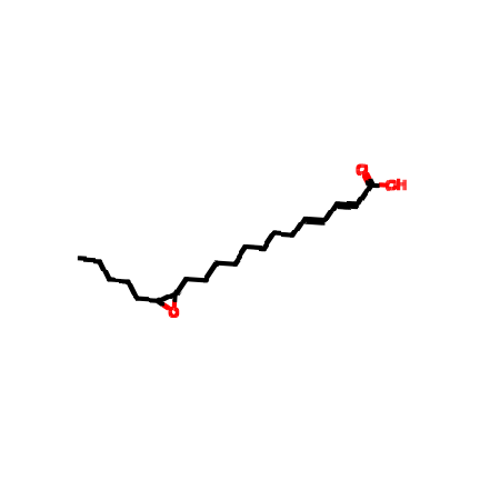 CCCCCC1OC1CCCCCCCCC=CC=CC(=O)O